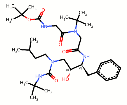 CC(C)CCN(C[C@@H](O)[C@H](Cc1ccccc1)NC(=O)CN(C(=O)CNC(=O)OC(C)(C)C)C(C)(C)C)C(=O)NC(C)(C)C